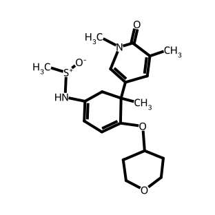 Cc1cc(C2(C)CC(N[S+](C)[O-])=CC=C2OC2CCOCC2)cn(C)c1=O